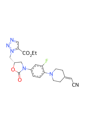 CCOC(=O)c1cnnn1C[C@@H]1CN(c2ccc(N3CCC(=CC#N)CC3)c(F)c2)C(=O)O1